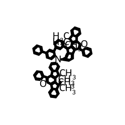 CC1(C)c2ccccc2-c2c1c1c(c3c2oc2ccccc23)-c2ccc(N3c4ccc5c(c4)C(C)(c4cccc(c4)-c4cc(-c6ccccc6)ccc43)c3c4c(c6oc7ccccc7c6c3-5)-c3ccccc3C4(C)C)cc2C1(C)C